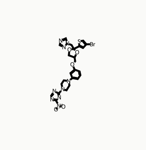 O=[N+]([O-])c1ncnc(N2CCN(c3cccc(OCC4COC(Cn5cncn5)(c5cc(Br)cs5)O4)c3)CC2)n1